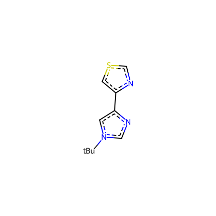 CC(C)(C)n1cnc(-c2cscn2)c1